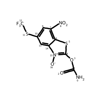 NC(=O)Oc1sc2c([N+](=O)[O-])cc(SC(F)(F)F)cc2[n+]1[O-]